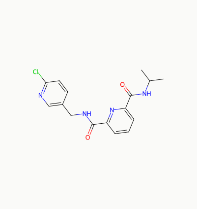 CC(C)NC(=O)c1cccc(C(=O)NCc2ccc(Cl)nc2)n1